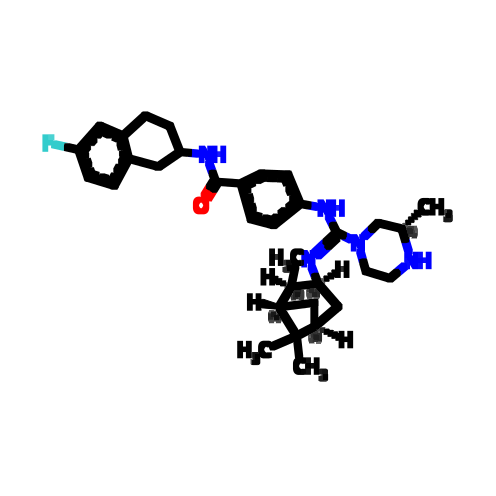 C[C@H]1[C@@H](N=C(Nc2ccc(C(=O)NC3CCc4cc(F)ccc4C3)cc2)N2CCN[C@@H](C)C2)C[C@@H]2C[C@@H]1C2(C)C